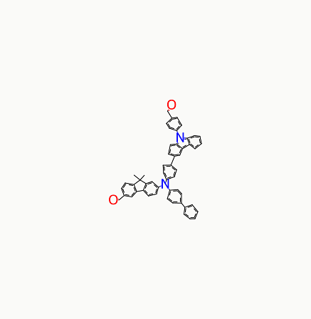 CC1(C)c2ccc(C=O)cc2-c2ccc(N(c3ccc(-c4ccccc4)cc3)c3ccc(-c4ccc5c(c4)c4ccccc4n5-c4ccc(C=O)cc4)cc3)cc21